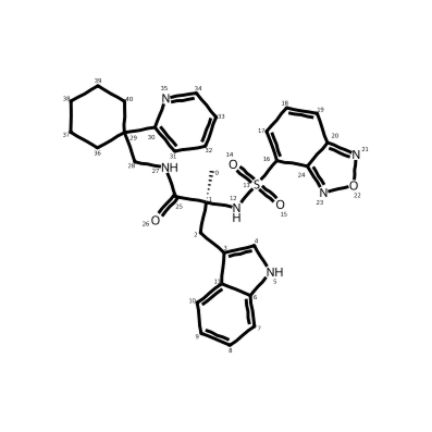 C[C@@](Cc1c[nH]c2ccccc12)(NS(=O)(=O)c1cccc2nonc12)C(=O)NCC1(c2ccccn2)CCCCC1